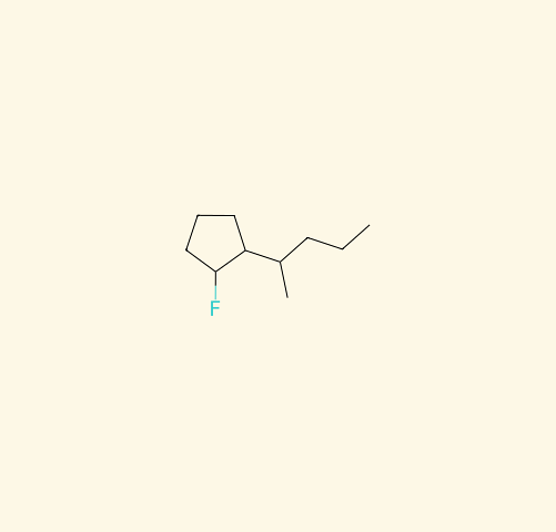 CCCC(C)C1CCCC1F